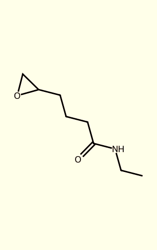 CCNC(=O)CCCC1CO1